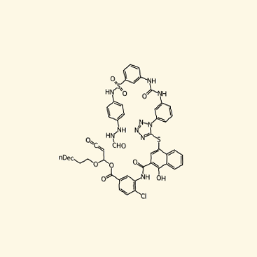 CCCCCCCCCCCCOC(C=C=O)OC(=O)c1ccc(Cl)c(NC(=O)c2cc(Sc3nnnn3-c3cccc(NC(=O)Nc4cccc(S(=O)(=O)Nc5ccc(NNC=O)cc5)c4)c3)c3ccccc3c2O)c1